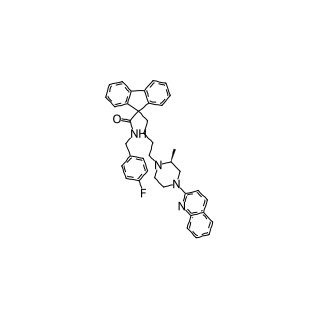 C[C@H]1CN(c2ccc3ccccc3n2)CCN1CCCCC1(C(=O)NCc2ccc(F)cc2)c2ccccc2-c2ccccc21